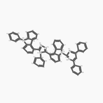 c1ccc(-c2cc(-c3ccccc3)nc(-n3c4ccccc4c4c(-c5nnc(-c6cccc7c6c6ccccc6n7-c6ccccc6)n5-c5ccccc5)cccc43)n2)cc1